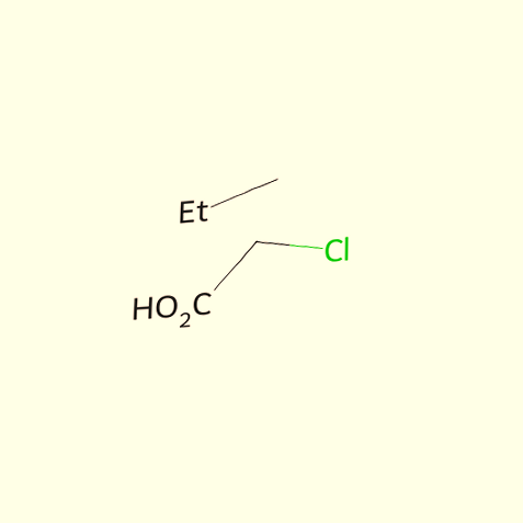 CCC.O=C(O)CCl